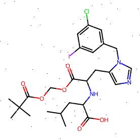 CC(C)CC(NC(Cc1cncn1Cc1cc(Cl)cc(I)c1)C(=O)OCOC(=O)C(C)(C)C)C(=O)O